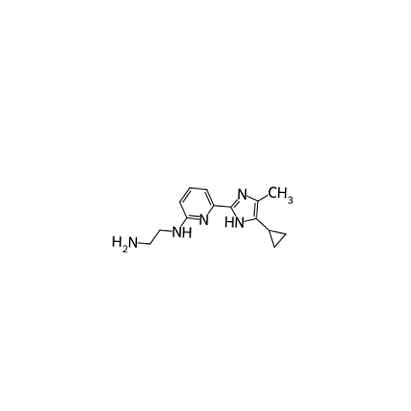 Cc1nc(-c2cccc(NCCN)n2)[nH]c1C1CC1